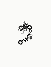 CC(C)(CCc1ccccc1)NC[C@@H](O)COc1cccc(S(=O)(=O)NN2CCOC(Cl)C2Cl)c1